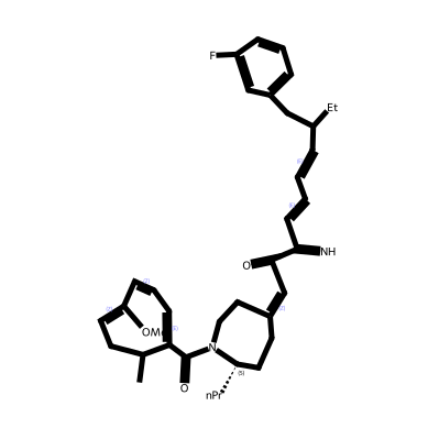 CCC[C@H]1CC/C(=C/C(=O)C(=N)/C=C/C=C/C(CC)Cc2cccc(F)c2)CCN1C(=O)/C1=C/C=C\C(OC)=C\CC1C